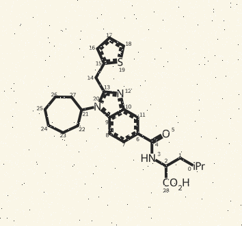 CC(C)CC(NC(=O)c1ccc2c(c1)nc(Cc1cccs1)n2C1CCCCCC1)C(=O)O